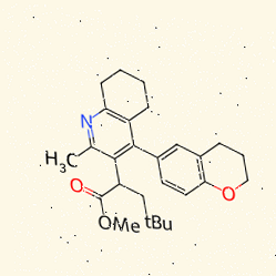 COC(=O)C(CC(C)(C)C)c1c(C)nc2c(c1-c1ccc3c(c1)CCCO3)CCCC2